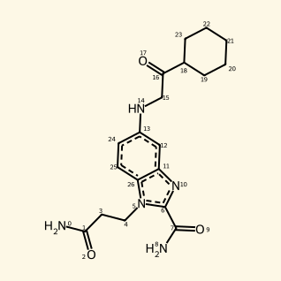 NC(=O)CCn1c(C(N)=O)nc2cc(NCC(=O)C3CCCCC3)ccc21